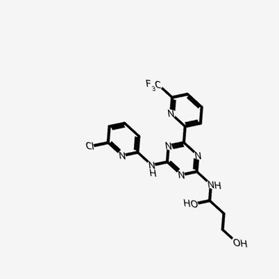 OCCC(O)Nc1nc(Nc2cccc(Cl)n2)nc(-c2cccc(C(F)(F)F)n2)n1